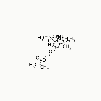 C=C(C)C(=O)OCCOCc1cc(C(C)(C)CC)c(O)c(C(C)(C)CC)c1